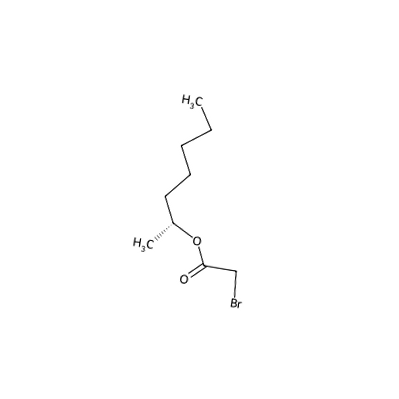 CCCCC[C@@H](C)OC(=O)CBr